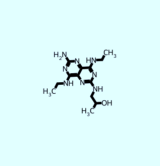 CCNc1nc(NCC(C)O)nc2c(NCC)nc(N)nc12